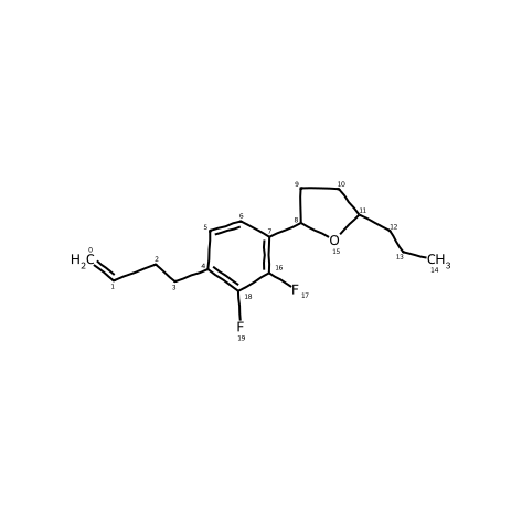 C=CCCc1ccc(C2CCC(CCC)O2)c(F)c1F